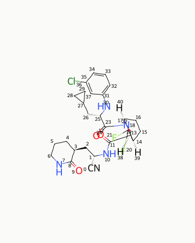 N#C[C@H](C[C@@H]1CCCNC1=O)NC(=O)[C@@H]1[C@@H]2CC[C@@H](CC2(F)F)N1C(=O)[C@H](CC1CC1)Nc1cccc(Cl)c1